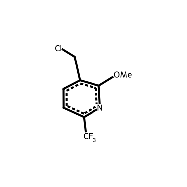 COc1nc(C(F)(F)F)ccc1CCl